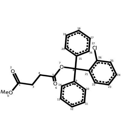 COC(=O)CCC(=O)OC(c1ccccc1)(c1ccccc1)c1ccccc1Cl